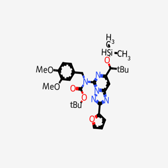 COc1ccc(CN(C(=O)OC(C)(C)C)c2nc(C(O[SiH](C)C)C(C)(C)C)cc3nc(-c4ccco4)nn23)cc1OC